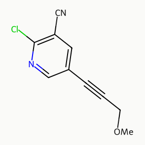 COCC#Cc1cnc(Cl)c(C#N)c1